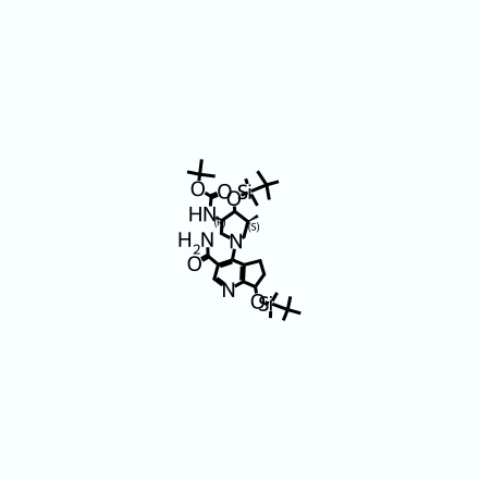 C[C@H]1CN(c2c(C(N)=O)cnc3c2CCC3O[Si](C)(C)C(C)(C)C)C[C@@H](NC(=O)OC(C)(C)C)C1O[Si](C)(C)C(C)(C)C